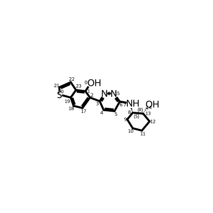 Oc1c(-c2ccc(N[C@H]3CCCC[C@H]3O)nn2)ccc2sccc12